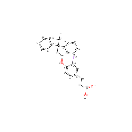 CC(C)(C)[Si](CCOc1ccc(CCC(=O)O)cc1I)(c1ccccc1)c1ccccc1